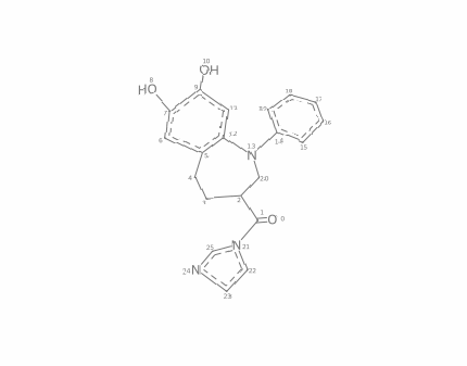 O=C(C1CCc2cc(O)c(O)cc2N(c2ccccc2)C1)n1ccnc1